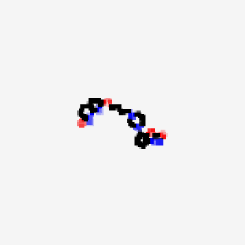 O=C1CCc2ccc(OCCCCN3CCCN(c4cccc5[nH]c(=O)oc45)CC3)nc2N1